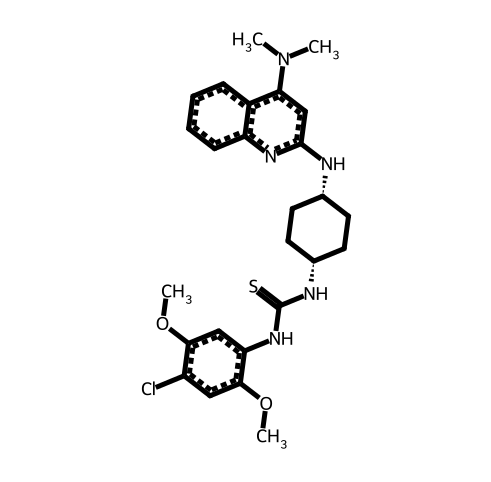 COc1cc(NC(=S)N[C@H]2CC[C@@H](Nc3cc(N(C)C)c4ccccc4n3)CC2)c(OC)cc1Cl